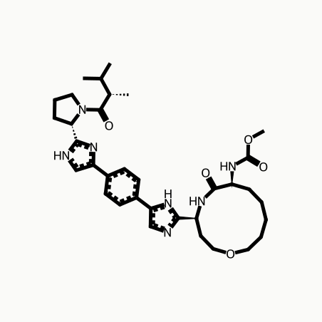 COC(=O)N[C@H]1CCCCCOCC[C@@H](c2ncc(-c3ccc(-c4c[nH]c([C@@H]5CCCN5C(=O)[C@@H](C)C(C)C)n4)cc3)[nH]2)NC1=O